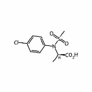 C[C@H](C(=O)O)N(c1ccc(Cl)cc1)S(C)(=O)=O